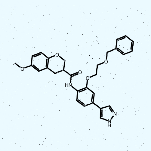 COc1ccc2c(c1)CC(C(=O)Nc1ccc(-c3cn[nH]c3)cc1OCCOCc1ccccc1)CO2